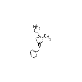 CC1CN(Cc2ccccc2)CCN1CCN